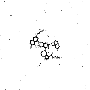 CCc1c(F)ccc2cc(OCOC)cc(N3CCc4c(nc(OC[C@@]56CCCN5C[C@H](F)C6)nc4N4CCCn5ncc(C(=O)NC)c5C4)C3)c12